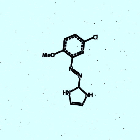 COc1ccc(Cl)cc1/N=N/C1NC=CN1